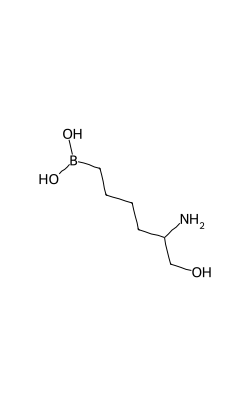 NC(CO)CCCCB(O)O